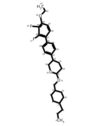 CCCC1CCC(COC2CCC(c3ccc(-c4ccc(OCC)c(F)c4F)cc3)CO2)CC1